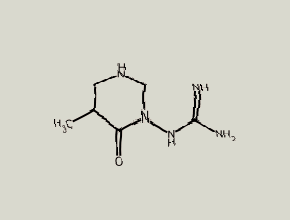 CC1CNCN(NC(=N)N)C1=O